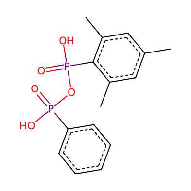 Cc1cc(C)c(P(=O)(O)OP(=O)(O)c2ccccc2)c(C)c1